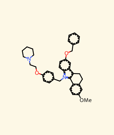 COc1ccc2c(c1)CCc1c-2n(Cc2ccc(OCCN3CCCCC3)cc2)c2ccc(OCc3ccccc3)cc12